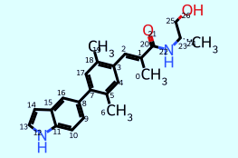 C/C(=C\c1cc(C)c(-c2ccc3[nH]ccc3c2)cc1C)C(=O)N[C@@H](C)CO